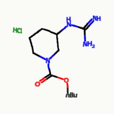 CCCCOC(=O)N1CCCC(NC(=N)N)C1.Cl